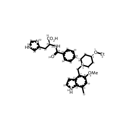 CCO[C@@H]1CCN(Cc2c(OC)cc(C)c3[nH]ccc23)[C@H](c2ccc(C(=O)N[C@@H](Cc3c[nH]cn3)C(=O)O)cc2)C1